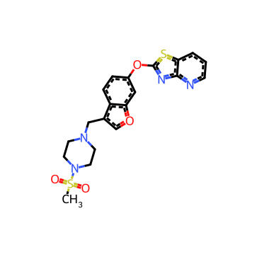 CS(=O)(=O)N1CCN(Cc2coc3cc(Oc4nc5ncccc5s4)ccc23)CC1